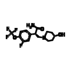 NC(=O)[C@@H](CN1CCC(O)CC1)c1ccc(OC(F)(F)F)c(F)c1